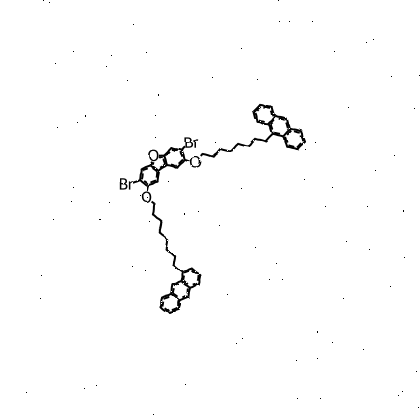 Brc1cc2oc3cc(Br)c(OCCCCCCCCc4c5ccccc5cc5ccccc45)cc3c2cc1OCCCCCCCCc1cccc2cc3ccccc3cc12